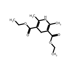 CCOC(=O)C1=C(C)NC(C)=C(C(=O)OCC)[C]1